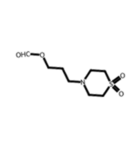 O=COCCCN1CCS(=O)(=O)CC1